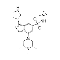 C[C@@H]1CN(c2cc(S(=O)(=O)NC3(C)CC3)cc3c2cnn3C2CCNC2)C[C@H](C)N1C